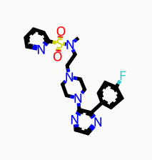 CN(CCN1CCN(c2nccnc2-c2ccc(F)cc2)CC1)S(=O)(=O)c1ccccn1